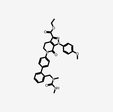 CCOC(=O)c1nn(-c2ccc(OC)cc2)c2c1CCN(c1ccc(-c3ccccc3CN(C)C(=O)NC)cc1)C2=O